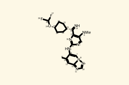 CNc1cnc(Nc2cn3ncnc3cc2C)nc1C(=N)[C@H]1CC[C@@H](OC(F)F)CC1